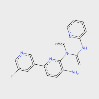 C=C(Nc1ccccn1)N(CCCCCC)c1nc(-c2cncc(F)c2)ccc1N